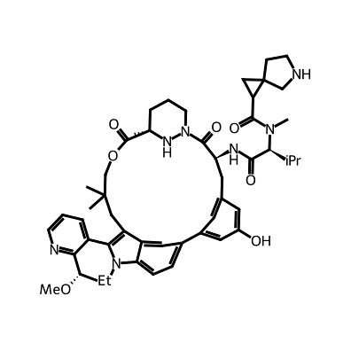 CCn1c(-c2cccnc2[C@H](C)OC)c2c3cc(ccc31)-c1cc(O)cc(c1)C[C@H](NC(=O)[C@H](C(C)C)N(C)C(=O)C1CC13CCNC3)C(=O)N1CCC[C@@](C)(N1)C(=O)OCC(C)(C)C2